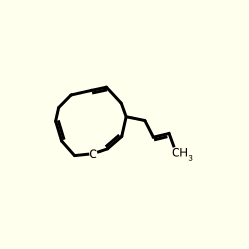 CC=CCC1/C=C\CC/C=C\CC/C=C\C1